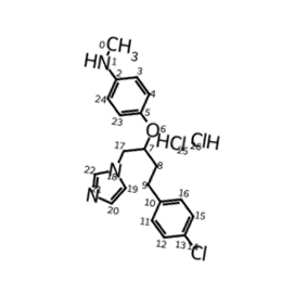 CNc1ccc(OC(CCc2ccc(Cl)cc2)Cn2ccnc2)cc1.Cl.Cl